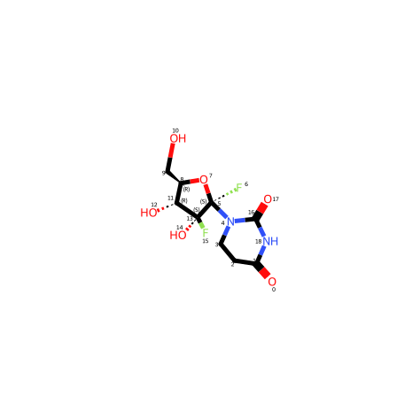 O=C1CCN([C@]2(F)O[C@H](CO)[C@@H](O)[C@]2(O)F)C(=O)N1